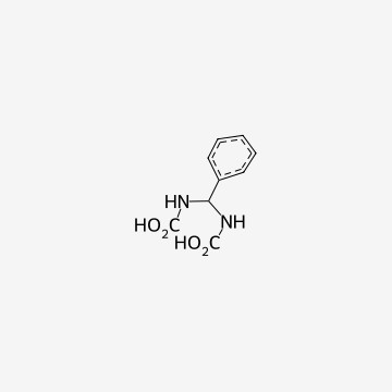 O=C(O)NC(NC(=O)O)c1ccccc1